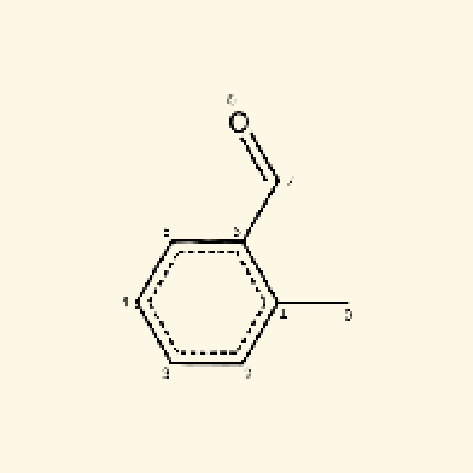 Cc1cc[c]cc1C=O